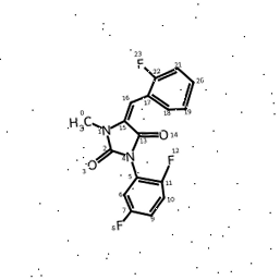 CN1C(=O)N(c2cc(F)ccc2F)C(=O)C1=Cc1ccccc1F